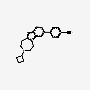 N#Cc1ccc(-c2ccc3nc4n(c3c2)CCN(C2CCC2)CC4)cc1